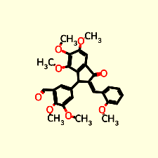 COc1ccccc1/C=C1\C(=O)c2cc(OC)c(OC)c(OC)c2C1c1cc(C=O)c(OC)c(OC)c1